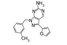 Cc1cccc(Cn2nc(-c3ccco3)c3cnc(N)nc32)c1